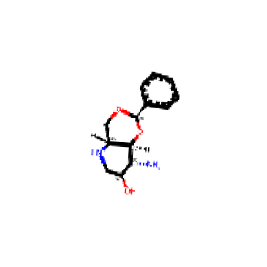 N[C@H]1[C@@H]2O[C@H](c3ccccc3)OC[C@H]2NC[C@@H]1O